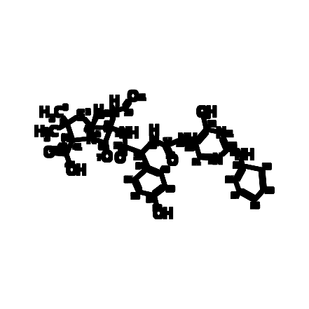 CC1(C)S[C@H]2N(C(=O)[C@@]2(NC=O)NC(=O)C(NC(=O)Nc2cnc(Nc3ccccc3)nc2O)c2ccc(O)cc2)[C@H]1C(=O)O